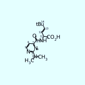 CN(C)c1nccc(C(=O)NC(/C=C/C(C)(C)C)C(=O)O)n1